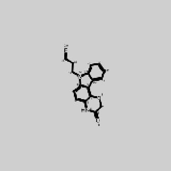 O=C1COc2c(ccc3c2c2ccccc2n3CCCF)N1